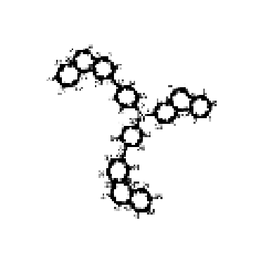 c1ccc2c(c1)ccc1cc(N(c3ccc(-c4ccc5ccc6ccccc6c5c4)cc3)c3ccc(-c4ccc5ccc6ccccc6c5c4)cc3)ccc12